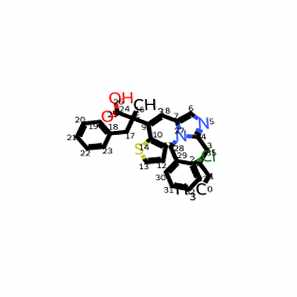 CCCCc1ncc(C=C(c2cccs2)C(C)(Cc2ccccc2)C(=O)O)n1Cc1ccccc1Cl